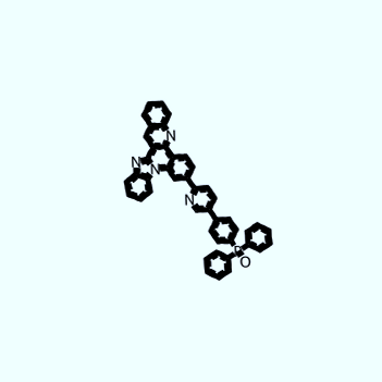 O=P(c1ccccc1)(c1ccccc1)c1ccc(-c2ccc(-c3ccc4c5nc6ccccc6cc5c5nc6ccccc6n5c4c3)nc2)cc1